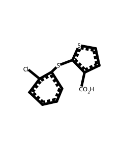 O=C(O)c1ccsc1Sc1ccccc1Cl